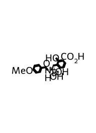 COc1ccc(C(=O)N[C@@H](Cc2cccc(C(=O)O)c2O)B(O)O)cc1